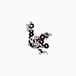 NC(=O)CC[C@H](NC(=O)[C@@H]1CC[C@@H]2CCN(Cc3ccc4c(c3)C(=O)N(C3CCC(=O)NC3=O)C4)C[C@H](NC(=O)c3cc4cc(C(F)(F)P(=O)(O)O)ccc4[nH]3)C(=O)N21)C(=O)NC(c1ccccc1)c1ccccc1